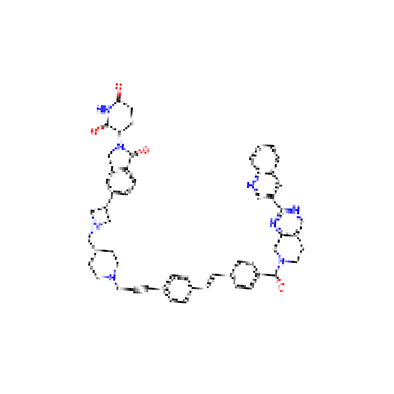 O=C1CCC(N2Cc3cc(C4CN(CC5CCN(CC#Cc6ccc(/C=C/c7ccc(C(=O)N8CCc9cnc(-c%10cnc%11ccccc%11c%10)nc9C8)cc7)cc6)CC5)C4)ccc3C2=O)C(=O)N1